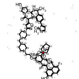 C#Cc1c(F)ccc2cc(O)cc(-c3ncc4c(N5CC6CCC(C5)N6C(=O)OC(C)(C)C)nc(OCCN5CCC(CN6CCN(c7cc(C(C(=O)N8C[C@H](O)C[C@H]8C(=O)NC(C)c8ccc(-c9ccnn9C)cc8)C(C)C)on7)CC6)CC5)nc4c3F)c12